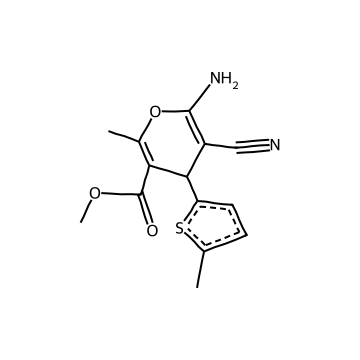 COC(=O)C1=C(C)OC(N)=C(C#N)C1c1ccc(C)s1